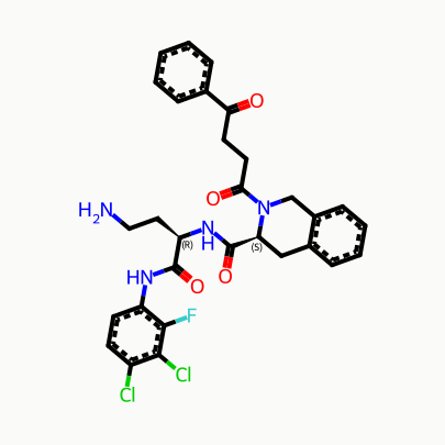 NCC[C@@H](NC(=O)[C@@H]1Cc2ccccc2CN1C(=O)CCC(=O)c1ccccc1)C(=O)Nc1ccc(Cl)c(Cl)c1F